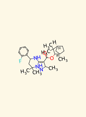 CC1NN2C(=C1C(=O)OC1C(C)(C)[C@H]3CC[C@]1(C)C3)NC(c1ccccc1F)CC2(C)C